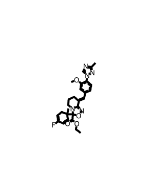 CCOC(=O)C1(C2(C)C=CC(F)=CC2)ON=C2/C(=C/c3ccc(-n4cnc(C)n4)c(OC)c3)CCCN21